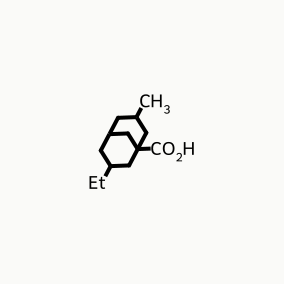 CCC1CC2CC(C)CC(C(=O)O)(C1)C2